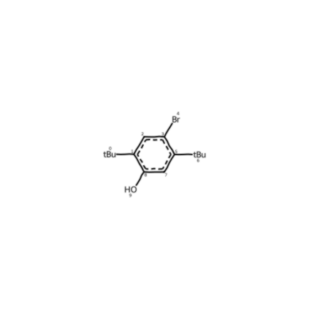 CC(C)(C)c1cc(Br)c(C(C)(C)C)cc1O